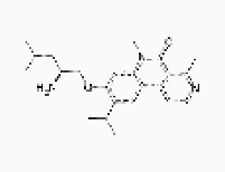 Cc1nccc2c1c(=O)n(C)c1cc(OC[C@@H](N)CC(C)C)c(C(C)C)cc21